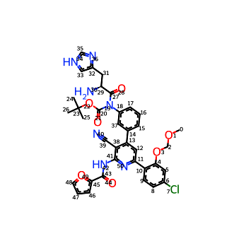 COCOc1cc(Cl)ccc1-c1cc(-c2cccc(N(C(=O)OC(C)(C)C)C(=O)[C@@H](N)Cc3c[nH]cn3)c2)c(C#N)c(NC(=O)c2ccco2)n1